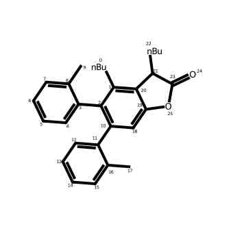 CCCCc1c(-c2ccccc2C)c(-c2ccccc2C)cc2c1C(CCCC)C(=O)O2